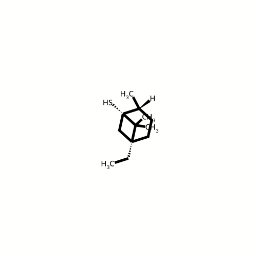 CC[C@]12CC[C@@H](C)[C@](S)(C1)C2(C)C